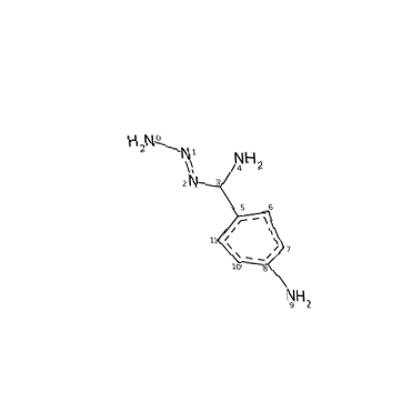 NN=NC(N)c1ccc(N)cc1